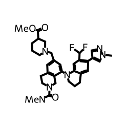 CNC(=O)N1CCc2cc(CN3CCCC(C(=O)OC)C3)cc(N3CCCc4cc(-c5cnn(C)c5)c(C(F)F)cc43)c2C1